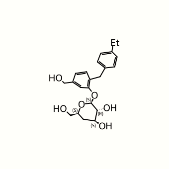 CCc1ccc(Cc2ccc(CO)cc2O[C@@H]2O[C@H](CO)C[C@H](O)[C@H]2O)cc1